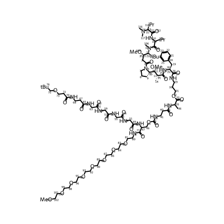 CC[C@H](C)[C@@H]([C@@H](CC(=O)N1CCC[C@H]1[C@H](OC)[C@@H](C)C(=O)N[C@@H](Cc1ccccc1)C(=O)NCCCOC(=O)C(C)NC(=O)CCNC(=O)OCC(NC(=O)CNC(=O)CNC(=O)CNC(=O)CNC(=O)CCNC(=O)CCOCC(C)(C)C)C(=O)NCCOCCOCCOCCOCCOCCOCCOCCOC)OC)N(C)C(=O)C(NC(=O)[C@H](C(C)C)N(C)C)C(C)C